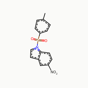 Cc1ccc(S(=O)(=O)n2ccc3cc([N+](=O)[O-])ccc32)cc1